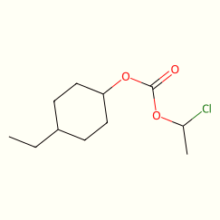 CCC1CCC(OC(=O)OC(C)Cl)CC1